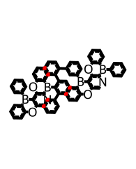 c1ccc(B2c3ccccc3Oc3c2ncc2c3B(c3cccc(-c4ccccc4-c4cccc(-c5ccccc5)c4B4c5ccccc5Oc5c4ncc4c5B(c5ccccc5)c5ccccc5O4)c3)c3ccccc3O2)cc1